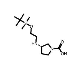 CC(C)(C)[Si](C)(C)OCCN[C@H]1CCN(C(=O)O)C1